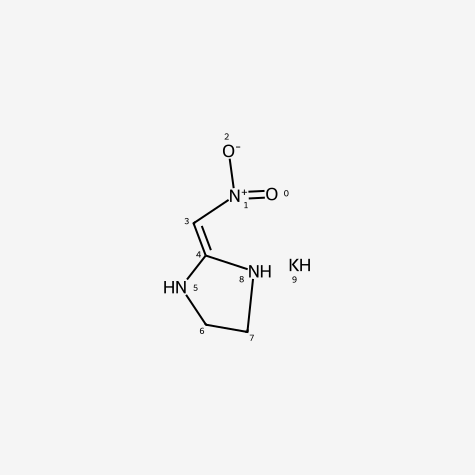 O=[N+]([O-])C=C1NCCN1.[KH]